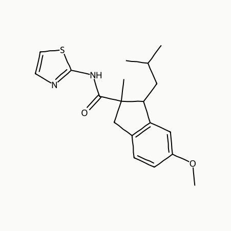 COc1ccc2c(c1)C(CC(C)C)C(C)(C(=O)Nc1nccs1)C2